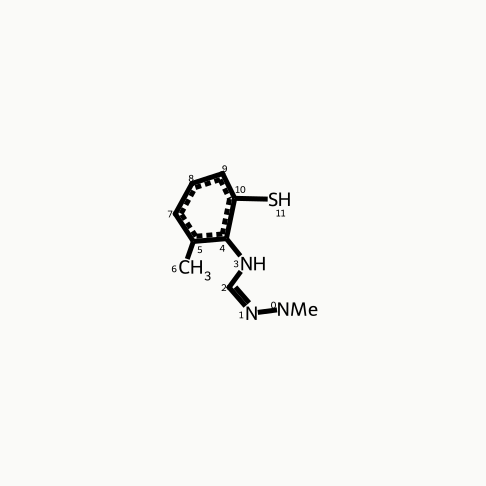 CN/N=C\Nc1c(C)cccc1S